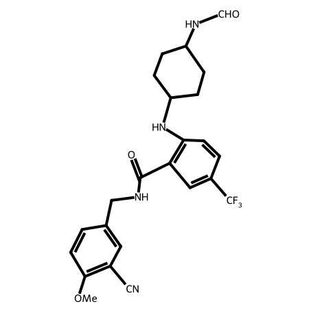 COc1ccc(CNC(=O)c2cc(C(F)(F)F)ccc2NC2CCC(NC=O)CC2)cc1C#N